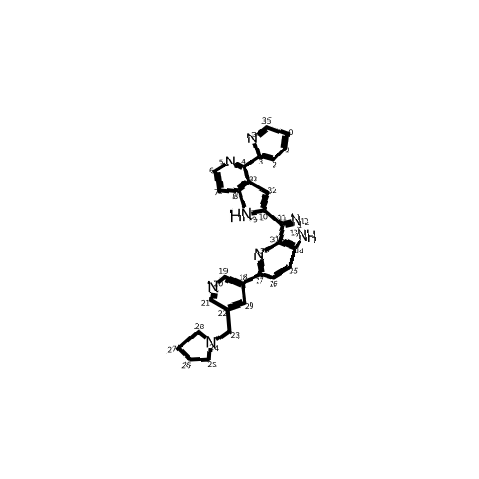 c1ccc(-c2nccc3[nH]c(-c4n[nH]c5ccc(-c6cncc(CN7CCCC7)c6)nc45)cc23)nc1